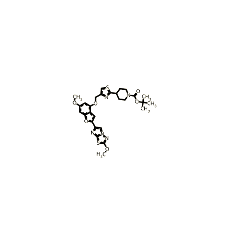 COc1cc(OCc2csc(C3CCN(C(=O)OC(C)(C)C)CC3)n2)c2cc(-c3cn4nc(OC)sc4n3)oc2c1